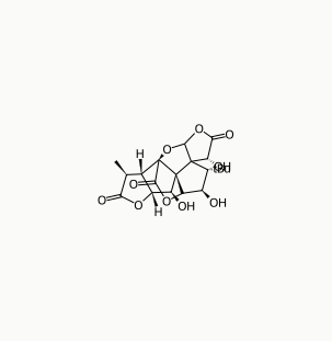 C[C@@H]1C(=O)O[C@@H]2[C@H]1[C@@]13OC4OC(=O)[C@H](O)C45[C@H](C(C)(C)C)[C@@H](O)C(OC1=O)[C@]53[C@H]2O